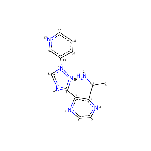 CC(N)c1nccnc1-c1ncn(-c2cccnc2)n1